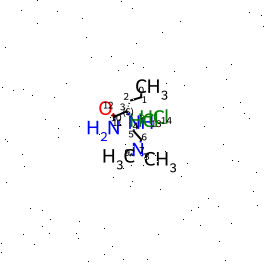 CCC[C@H](NCCN(C)C)C(N)=O.Cl.Cl